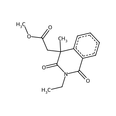 CCN1C(=O)c2ccccc2C(C)(CC(=O)OC)C1=O